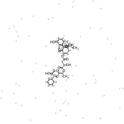 CC(OC(=O)C(O)CC(=O)OC1=CC[C@@]2(O)[C@H]3Cc4ccc(O)c5c4[C@@]2(CCN3C)[C@H]1O5)C(=O)O[C@H](C(=O)O)c1ccccc1